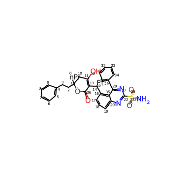 CCCC1(CCc2ccccc2)CC(O)=C(C(CC)c2cccc3nc(S(N)(=O)=O)nc(-c4ccccc4)c23)C(=O)O1